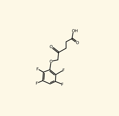 O=C(O)CCC(=O)COc1c(F)c(F)cc(F)c1F